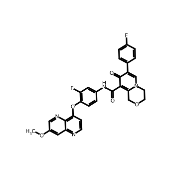 COc1cnc2c(Oc3ccc(NC(=O)c4c5n(cc(-c6ccc(F)cc6)c4=O)CCOC5)cc3F)ccnc2c1